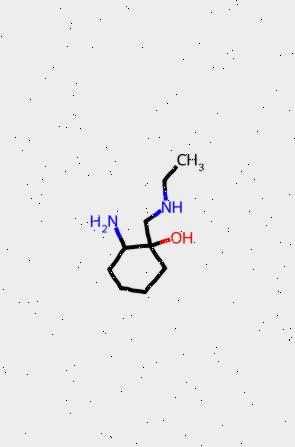 CCNCC1(O)CCCCC1N